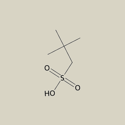 CC(C)(C)CS(=O)(=O)O